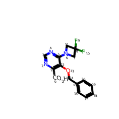 O=C(O)c1ncnc(N2CC(F)(F)C2)c1OCc1ccccc1